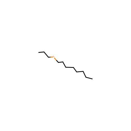 CCCCCCCC[P]CCC